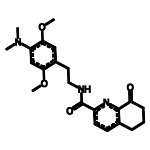 COc1cc(N(C)C)c(OC)cc1CCNC(=O)c1ccc2c(n1)C(=O)CCC2